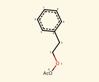 CC(=O)OOCCc1ccccc1